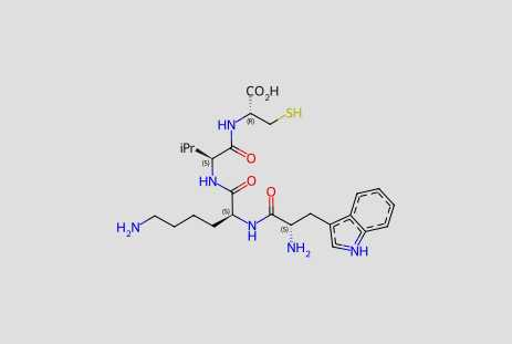 CC(C)[C@H](NC(=O)[C@H](CCCCN)NC(=O)[C@@H](N)Cc1c[nH]c2ccccc12)C(=O)N[C@@H](CS)C(=O)O